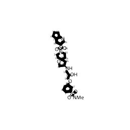 CNS(=O)(=O)c1cccc(OC[C@@H](O)CN[C@H]2COC3(CCN(S(=O)(=O)c4cnc5c(c4)CCC5)CC3)C2)c1